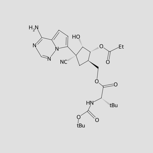 CCC(=O)O[C@@H]1[C@@H](COC(=O)[C@@H](NC(=O)OC(C)(C)C)C(C)(C)C)C[C@@](C#N)(c2ccc3c(N)ncnn23)[C@@H]1O